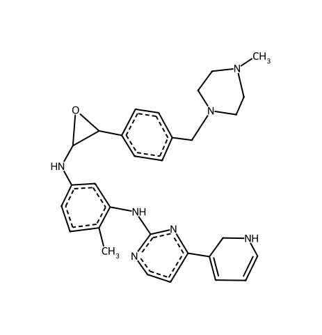 Cc1ccc(NC2OC2c2ccc(CN3CCN(C)CC3)cc2)cc1Nc1nccc(C2=CC=CNC2)n1